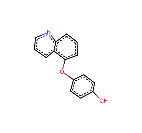 Oc1ccc(Oc2cccc3ncccc23)cc1